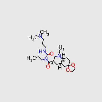 CCCN(C(=O)NCCCN(C)C)C(=O)[C@@H]1C[C@@H]2CC3(CC[C@H]2N(C)C1)OCCO3